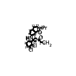 C=CC(=O)N1CC(Nc2ccc3ccn(C(C)C)c(=O)c3c2)(c2c(F)ccc(Cl)c2Cl)C1